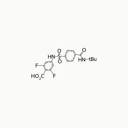 CC(C)(C)NC(=O)c1ccc(S(=O)(=O)Nc2cc(F)c(C(=O)O)c(F)c2)cc1